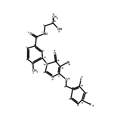 Cc1ccc(C(=O)NC[C@@H](C)O)cc1-n1cnc(OCc2ccc(F)cc2F)c(Br)c1=O